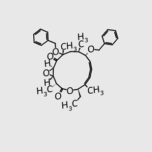 CC[C@H]1OC(=O)[C@H](C)[C@@H]2O[C@H]2C(=O)[C@](C)(OCc2ccccc2)C[C@@H](C)[C@H](OCc2ccccc2)C=C=C=C1C